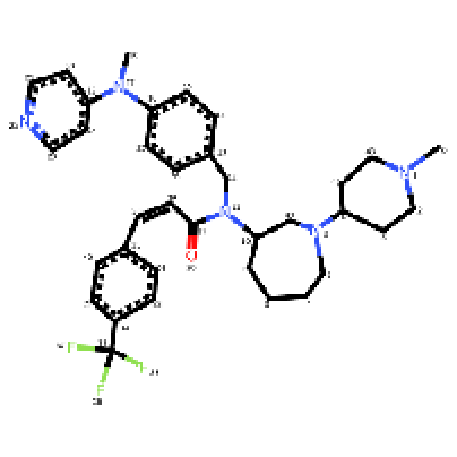 CN1CCC(N2CCCCC(N(Cc3ccc(N(C)c4ccncc4)cc3)C(=O)C=Cc3ccc(C(F)(F)F)cc3)C2)CC1